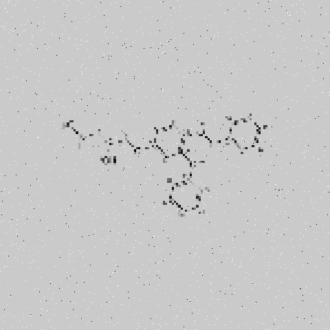 CC(C)NC[C@@H](O)COc1ccc(OCc2ccccc2)c(Oc2ccccc2)c1